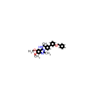 COc1cc2nc(C)nc(NC(C)c3cccc(-c4cccc(OCc5ccccc5)c4)c3)c2cc1OC